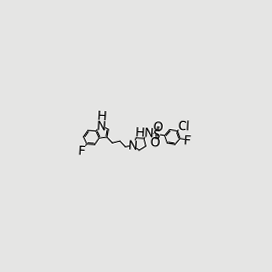 O=S(=O)(NC1CCN(CCCc2c[nH]c3ccc(F)cc23)C1)c1ccc(F)c(Cl)c1